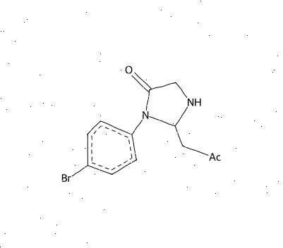 CC(=O)CC1NCC(=O)N1c1ccc(Br)cc1